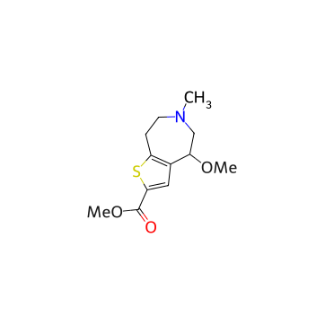 COC(=O)c1cc2c(s1)CCN(C)CC2OC